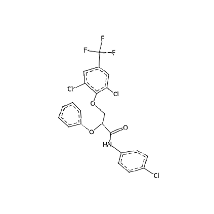 O=C(Nc1ccc(Cl)cc1)C(COc1c(Cl)cc(C(F)(F)F)cc1Cl)Oc1ccccc1